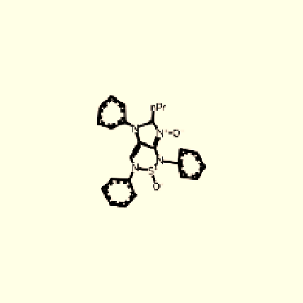 CCCC1N(c2ccccc2)C2=CN(c3ccccc3)[S+]([O-])N(c3ccccc3)C2=[N+]1[O-]